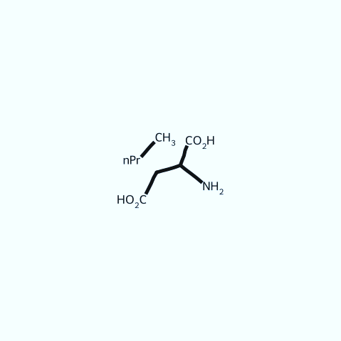 CCCC.NC(CC(=O)O)C(=O)O